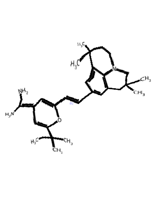 CC1(C)Cc2cc(/C=C/C3=CC(=C(N)N)C=C(C(C)(C)C)O3)cc3c2N(CCC3(C)C)C1